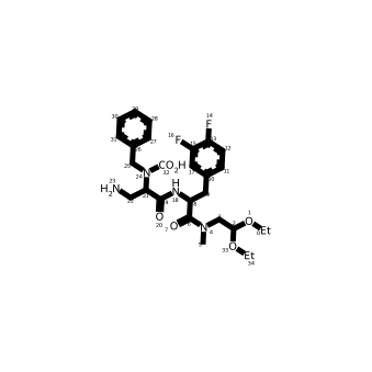 CCOC(CN(C)C(=O)C(Cc1ccc(F)c(F)c1)NC(=O)C(CN)N(Cc1ccccc1)C(=O)O)OCC